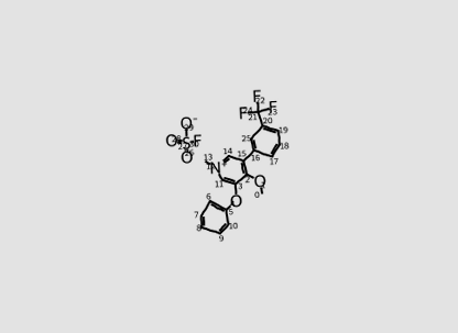 COc1c(Oc2ccccc2)c[n+](C)cc1-c1cccc(C(F)(F)F)c1.O=S(=O)([O-])F